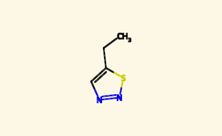 CCc1cnns1